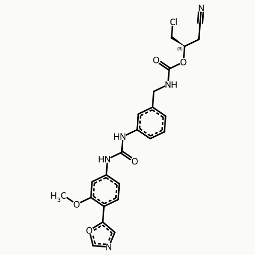 COc1cc(NC(=O)Nc2cccc(CNC(=O)O[C@@H](CCl)CC#N)c2)ccc1-c1cnco1